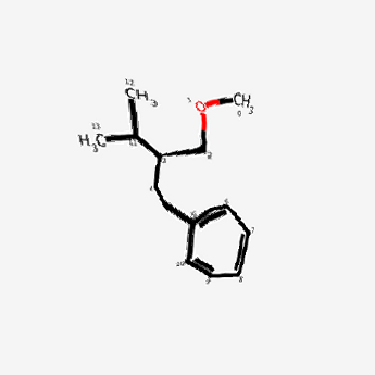 COC[C@@H](Cc1ccccc1)C(C)C